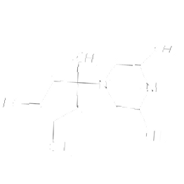 CCCC(C)(CCC)N1CC(C)NC(C)C1